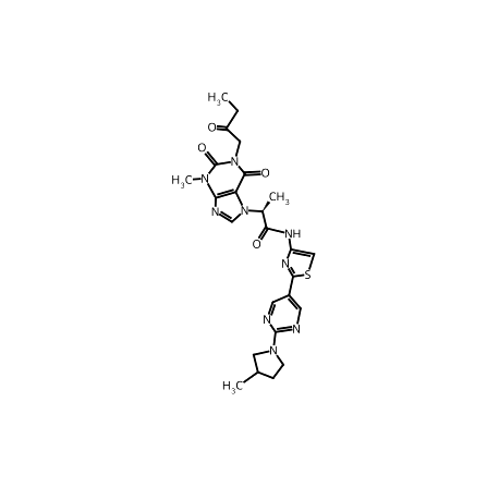 CCC(=O)Cn1c(=O)c2c(ncn2[C@@H](C)C(=O)Nc2csc(-c3cnc(N4CCC(C)C4)nc3)n2)n(C)c1=O